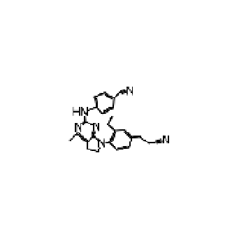 CCc1cc(CCC#N)ccc1N1CCc2c(C)nc(Nc3ccc(C#N)cc3)nc21